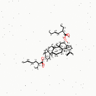 C=C(C)[C@@H]1CC[C@]2(COC(=O)C(CC)CCCC)CC[C@]3(C)[C@H](CC[C@@H]4[C@@]5(C)CC[C@H](OC(=O)C(CC)CCCC)C(C)(C)[C@@H]5CC[C@]43C)[C@@H]12